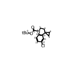 CC(C)(C)OC(=O)N1CCC2(CC2)c2cc(Cl)ccc21